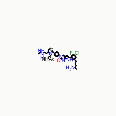 CC(=N)NCCC1CCCC(c2ccc(-n3cc4cc(-c5cc(CCCC(C)N)cc(Cl)c5F)[nH]c4nc3=O)cc2)N1CCNC(C)=O